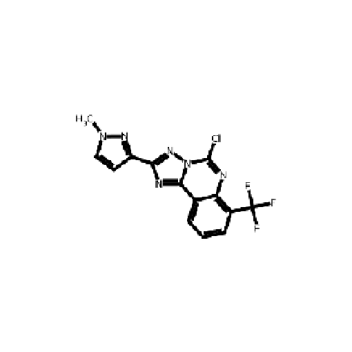 Cn1ccc(-c2nc3c4cccc(C(F)(F)F)c4nc(Cl)n3n2)n1